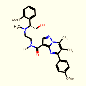 COc1ccc(-c2nc3c(C(=O)N(CCN(C)[C@@H](CO)c4ccccc4OC)C(C)C)cnn3c(C(F)(F)F)c2C)cc1